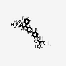 CCC(CC)C(=O)Nc1ccc(N2CCC(=C(C(=O)N(CC)CC)c3cccc(F)c3)CC2)c(F)c1